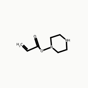 C=CC(=O)ON1CCNCC1